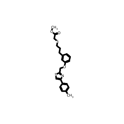 COC(=O)CSCCCc1cccc(OCc2nc(-c3ccc(C)cc3)cs2)c1